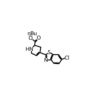 CCCCOC(=O)C1CC(c2nc3ccc(Cl)cc3s2)=CCN1